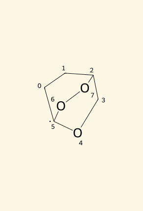 C1CC2CO[C]1OO2